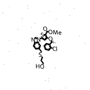 COC(=O)c1sc(-n2cnc3ccc(CSCCCO)cc32)cc1O[C@H](C)c1ccccc1Cl